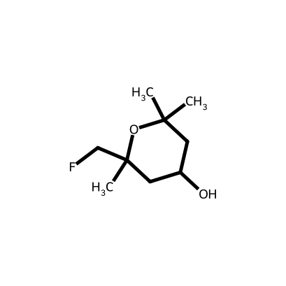 CC1(C)CC(O)CC(C)(CF)O1